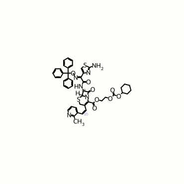 Cc1ncccc1/C=C\C1=C(C(=O)OCCOC(=O)OC2CCCCC2)N2C(=O)[C@@H](NC(=O)C(=NOC(c3ccccc3)(c3ccccc3)c3ccccc3)c3csc(N)n3)[C@@H]2SC1